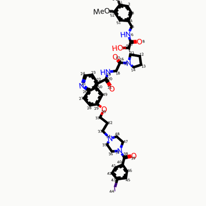 COc1ccc(CNC(=O)C(O)[C@@H]2CCCN2C(=O)CNC(=O)c2ccnc3ccc(OCCCN4CCN(C(=O)c5ccc(I)cc5)CC4)cc23)cc1OC